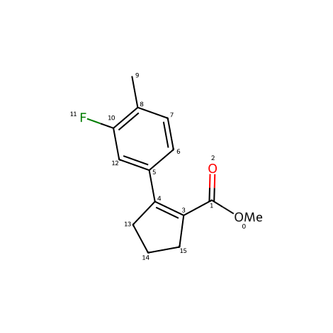 COC(=O)C1=C(c2ccc(C)c(F)c2)CCC1